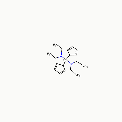 CC[N](CC)[Hf]([CH]1C=CC=C1)([CH]1C=CC=C1)[N](CC)CC